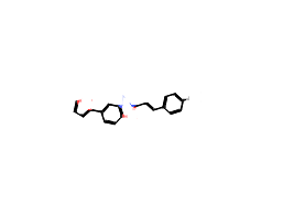 Cc1ccc(/C=C/c2nc3cc(-c4ccco4)ccc3o2)cc1